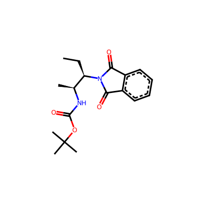 CC[C@H]([C@H](C)NC(=O)OC(C)(C)C)N1C(=O)c2ccccc2C1=O